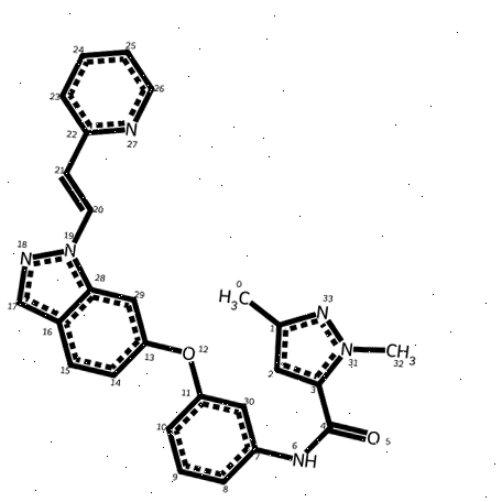 Cc1cc(C(=O)Nc2cccc(Oc3ccc4cnn(C=Cc5ccccn5)c4c3)c2)n(C)n1